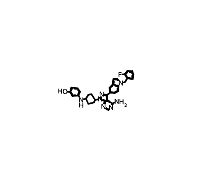 Nc1ncnc2c1c(-c1ccc3c(ccn3Cc3ccccc3F)c1)nn2C1CCC(Nc2cccc(O)c2)CC1